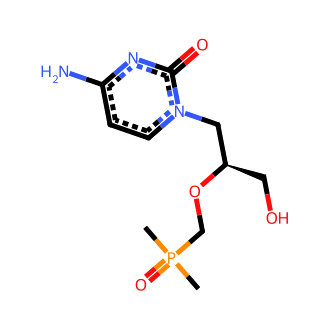 CP(C)(=O)CO[C@H](CO)Cn1ccc(N)nc1=O